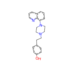 Oc1ccc(CCN2CCN(c3cccc4cccnc34)CC2)cc1